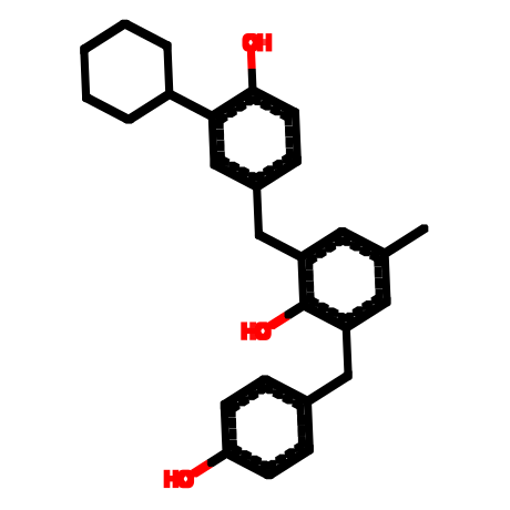 Cc1cc(Cc2ccc(O)cc2)c(O)c(Cc2ccc(O)c(C3CCCCC3)c2)c1